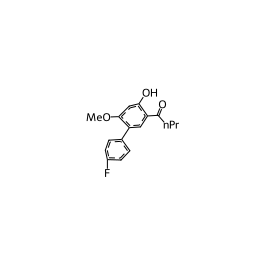 CCCC(=O)c1cc(-c2ccc(F)cc2)c(OC)cc1O